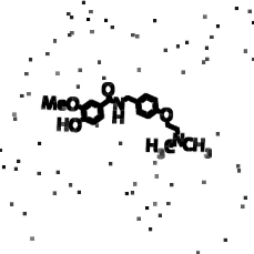 COc1cc(C(=O)NCc2ccc(OCCN(C)C)cc2)ccc1O